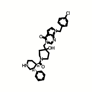 O=C([C@@H]1CCNC[C@H]1c1ccccc1)N1CCC(O)(Cn2cnc3c(ccn3Cc3ccc(Cl)cc3)c2=O)CC1